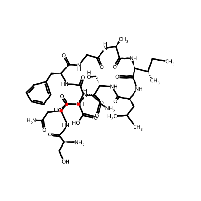 CC[C@H](C)[C@H](NC(=O)[C@H](C)NC(=O)CNC(=O)[C@H](Cc1ccccc1)NC(=O)[C@H](CC(N)=O)NC(=O)[C@H](CC(N)=O)NC(=O)[C@@H](N)CO)C(=O)N[C@@H](CC(C)C)C(=O)N[C@@H](CO)C(=O)N[C@@H](CO)C(=O)O